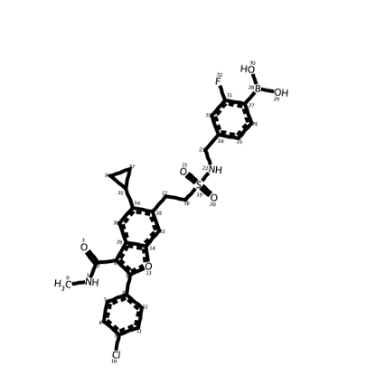 CNC(=O)c1c(-c2ccc(Cl)cc2)oc2cc(CCS(=O)(=O)NCc3ccc(B(O)O)c(F)c3)c(C3CC3)cc12